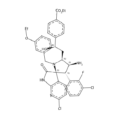 CCOC(=O)c1ccc([C@H](O)C[C@H]2[C@@H](N)[C@H](c3cccc(Cl)c3F)[C@]3(C(=O)Nc4nc(Cl)ccc43)N2Cc2cccc(OCC)c2)cc1